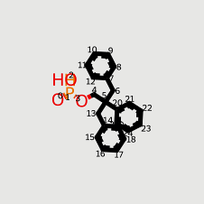 O=[PH](O)OCC(Cc1ccccc1)(Cc1ccccc1)c1ccccc1